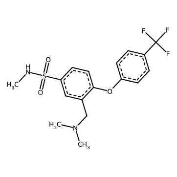 CNS(=O)(=O)c1ccc(Oc2ccc(C(F)(F)F)cc2)c(CN(C)C)c1